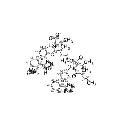 CCCCC(=O)N(Cc1ccc(-c2ccccc2-c2nnn[nH]2)cc1)[C@H](C(=O)[O-])C(C)C.CCCCC(=O)N(Cc1ccc(-c2ccccc2-c2nnn[nH]2)cc1)[C@H](C(=O)[O-])C(C)C.[CaH2].[Mg+2]